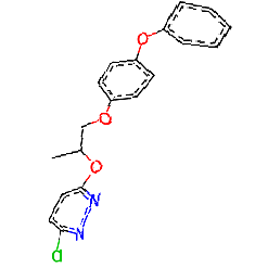 CC(COc1ccc(Oc2ccccc2)cc1)Oc1ccc(Cl)nn1